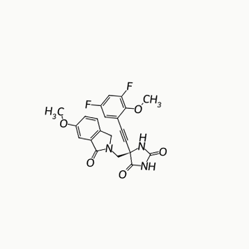 COc1ccc2c(c1)C(=O)N(C[C@@]1(C#Cc3cc(F)cc(F)c3OC)NC(=O)NC1=O)C2